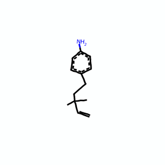 C=CC(C)(C)CCc1ccc(N)cc1